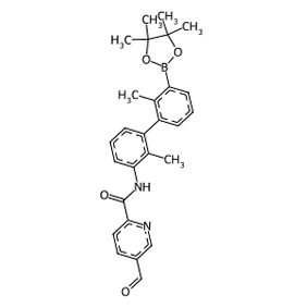 Cc1c(NC(=O)c2ccc(C=O)cn2)cccc1-c1cccc(B2OC(C)(C)C(C)(C)O2)c1C